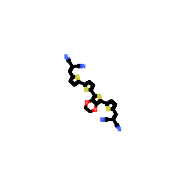 N#CC(C#N)=Cc1ccc(-c2ccc(-c3sc(-c4ccc(C=C(C#N)C#N)s4)c4c3OCCO4)s2)s1